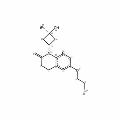 C=C1CCc2cc(OCCC(C)C)cnc2N1[C@H]1C[C@@](O)(C(C)C)C1